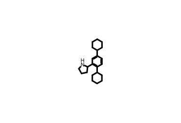 c1cc(C2CCCCC2)c(C2CCCN2)cc1C1CCCCC1